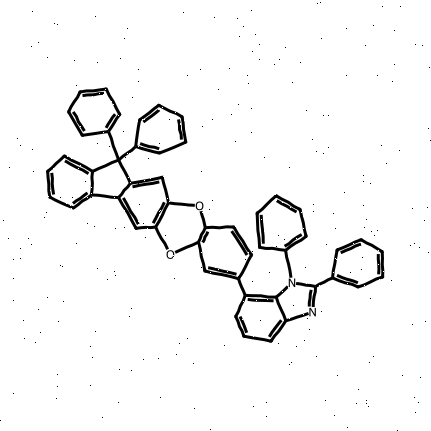 c1ccc(-c2nc3cccc(-c4ccc5c(c4)Oc4cc6c(cc4O5)C(c4ccccc4)(c4ccccc4)c4ccccc4-6)c3n2-c2ccccc2)cc1